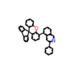 c1ccc(-c2cc3c(-c4cccc5c4Oc4ccccc4C54c5ccccc5-c5ccccc54)cccc3cn2)cc1